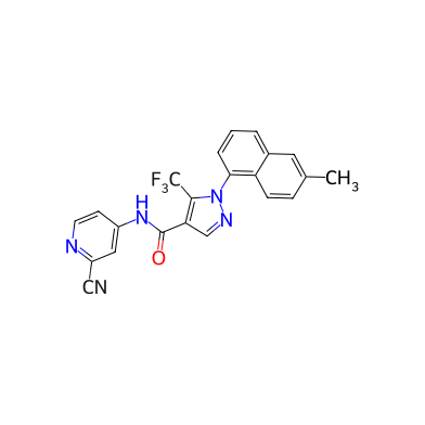 Cc1ccc2c(-n3ncc(C(=O)Nc4ccnc(C#N)c4)c3C(F)(F)F)cccc2c1